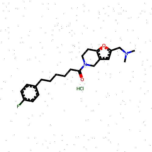 CN(C)Cc1cc2c(o1)CCN(C(=O)CCCCCc1ccc(F)cc1)C2.Cl